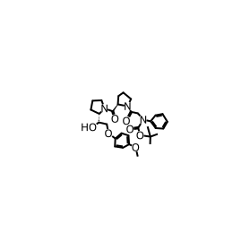 COc1ccc(OCC(O)[C@@H]2CCCN2C(=O)[C@H]2CCCN2C(=O)CN(C(=O)OC(C)(C)C)c2ccccc2)cc1